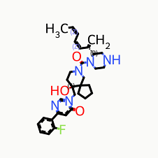 C=C(/C=C\C=C/C)[C@@H]1CNCCN1C(=O)N1CC[C@@](O)(Cn2cnc(-c3ccccc3F)cc2=O)C2(CCCC2)C1